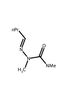 CCC/C=N/N(C)C(=O)NC